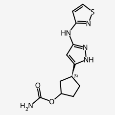 NC(=O)OC1CC[C@H](c2cc(Nc3ccsn3)n[nH]2)C1